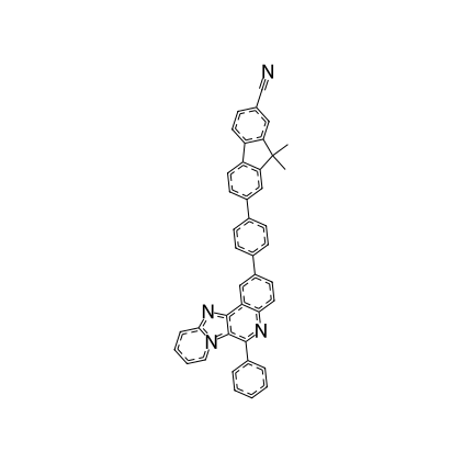 CC1(C)c2cc(C#N)ccc2-c2ccc(-c3ccc(-c4ccc5nc(-c6ccccc6)c6c(nc7ccccn76)c5c4)cc3)cc21